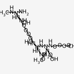 CCCNCCN(CCN)CCNCCNCC(O)COCCOCCOCCOCC(O)CNCCN(CCNCCN)CCNCCN(CCNCCOCCOCCOCCOC)CCN(CCOCCO)CCOCCOC